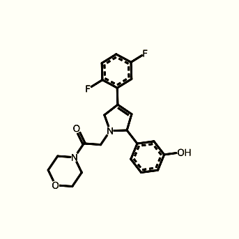 O=C(CN1CC(c2cc(F)ccc2F)=CC1c1cccc(O)c1)N1CCOCC1